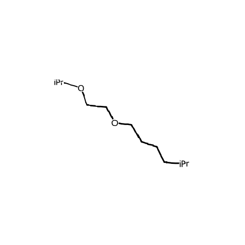 CC(C)CCCCOCCOC(C)C